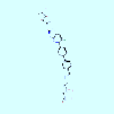 OC[C@@H](O)[C@@H](O)[C@H](O)[C@@H](O)CNCc1ccc(-c2ccc(-c3nc4nc(O[C@@H]5COC6[C@H](O)CO[C@@H]65)[nH]c4cc3Cl)cc2)cc1